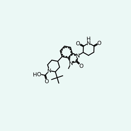 Cn1c(=O)n(C2CCC(=O)NC2=O)c2cccc(C3CCN(C(=O)O)C(C(C)(C)C)C3)c21